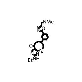 CCNc1ncc2c(n1)N(C)CCC(c1cccc(-c3nnc(CNC)o3)c1)CCC2=O